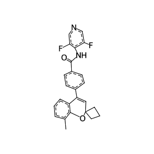 Cc1cccc2c1OC1(C=C2c2ccc(C(=O)Nc3c(F)cncc3F)cc2)CCC1